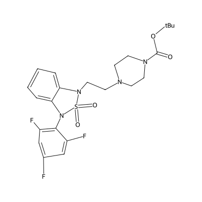 CC(C)(C)OC(=O)N1CCN(CCN2c3ccccc3N(c3c(F)cc(F)cc3F)S2(=O)=O)CC1